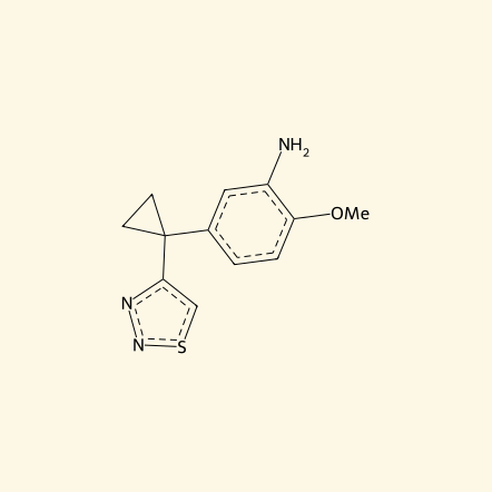 COc1ccc(C2(c3csnn3)CC2)cc1N